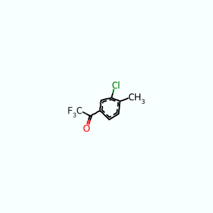 Cc1ccc(C(=O)C(F)(F)F)cc1Cl